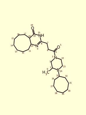 CC1CN(C(=O)CCC2=NC3CCCCCCCC3C(=O)N2)CCB1C1CCCCCCC1